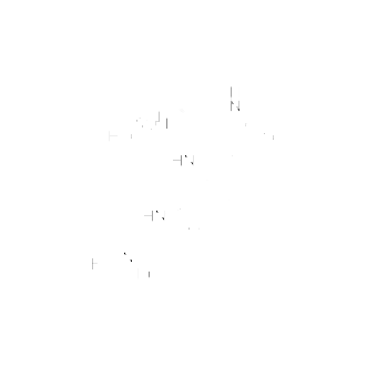 CCN(CC)CCNC(=O)c1c(C)[nH]c2c1CCC/C2=C1\C(=O)Nc2ccc(F)cc21.O=S(=O)(O)O